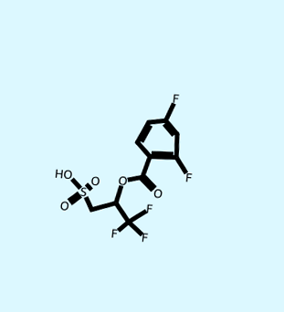 O=C(OC(CS(=O)(=O)O)C(F)(F)F)c1ccc(F)cc1F